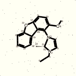 CCN1C=CN(c2c(OC)ccc3oc4ccccc4c23)[C@H]1C